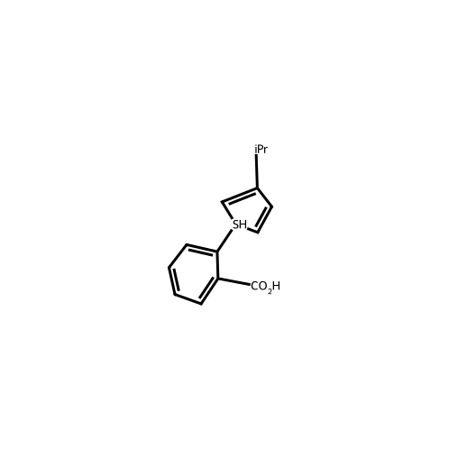 CC(C)C1=C[SH](c2ccccc2C(=O)O)C=C1